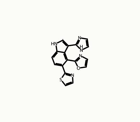 [c]1[nH]c2ccc(-c3nccs3)c(-c3ncco3)c2c1-c1ncc[nH]1